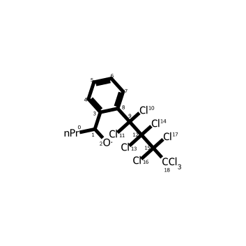 CCCC([O])c1ccccc1C(Cl)(Cl)C(Cl)(Cl)C(Cl)(Cl)C(Cl)(Cl)Cl